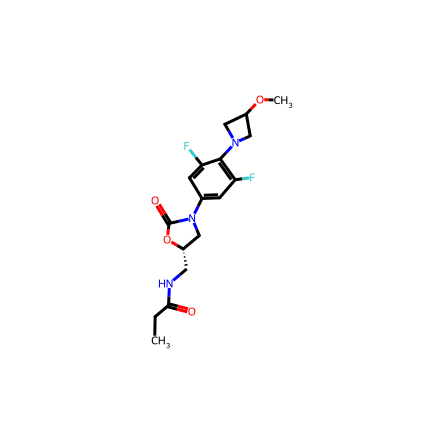 CCC(=O)NC[C@H]1CN(c2cc(F)c(N3CC(OC)C3)c(F)c2)C(=O)O1